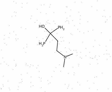 CN(C)CCC(O)(P)P